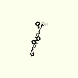 Cc1c(OCCCN2CCCC2)cccc1-c1cccc(OCCCN(CCO)Cc2ccccc2)c1C